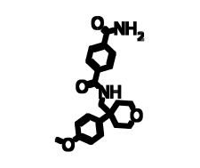 COc1ccc(C2(CNC(=O)c3ccc(C(N)=O)cc3)CCOCC2)cc1